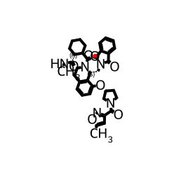 CNC(=O)[C@@H]1CCCCC1C(=O)N1CCc2cccc(OC3CCN(C(=O)c4cc(C)on4)C3)c2[C@H]1CN1C(=O)c2ccccc2C1=O